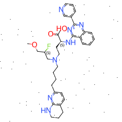 COC[C@@H](F)CN(CCCCc1ccc2c(n1)NCCC2)CC[C@H](Nc1c2ccccc2nc(-c2cccnc2)[n+]1O)C(C)=O